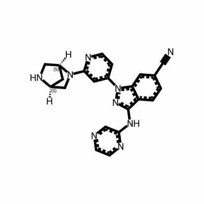 N#Cc1ccc2c(Nc3cnccn3)nn(-c3ccnc(N4C[C@@H]5C[C@H]4CN5)c3)c2c1